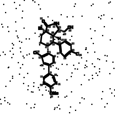 CC[C@@]12CC[C@@H](c3ccc(-c4cnc(OC)nc4)cc3Cl)[C@H](c3ccc(Cl)cc3)[C@@H]1[C@@H](CO)NC2=O